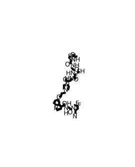 CC(=O)N[C@H](CS)C(=O)NCC(=O)N[C@H](CS)C(=O)NCC(=O)N1CCN(CCCOc2ccc3nccc(C(O)NCC(=O)N4CC(F)(F)CC4C#N)c3c2)CC1